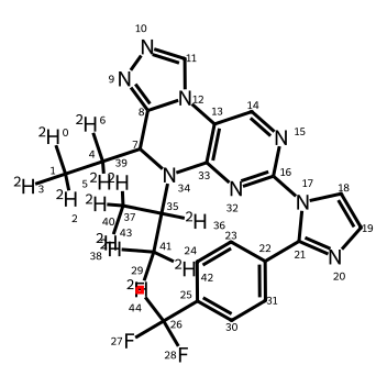 [2H]C([2H])([2H])C([2H])([2H])C1c2nncn2-c2cnc(-n3ccnc3-c3ccc(C(F)(F)F)cc3)nc2N1C([2H])(C([2H])([2H])[2H])C([2H])([2H])[2H]